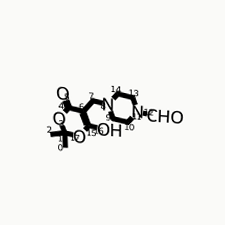 CC1(C)OC(=O)C(CN2CCN(C=O)CC2)=C(O)O1